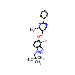 Cc1nc(-c2ccccc2)ncc1COc1ccc2c(nnn2CC(C)(C)C)c1Br